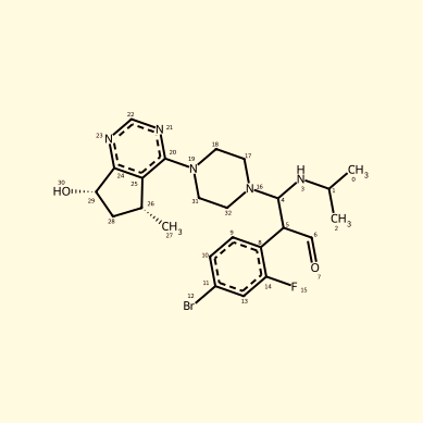 CC(C)NC(C(C=O)c1ccc(Br)cc1F)N1CCN(c2ncnc3c2[C@H](C)C[C@@H]3O)CC1